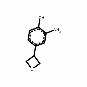 Nc1cc(C2COC2)ccc1O